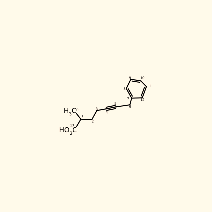 CC(CCC#CCc1ccccc1)C(=O)O